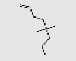 [CH2]CCC(C)(C)CCC=C